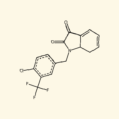 O=C1C(=O)N(Cc2ccc(Cl)c(C(F)(F)F)c2)C2CC=CC=C12